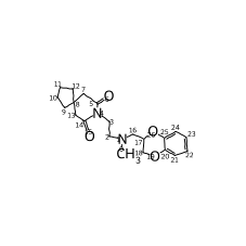 CN(CCN1C(=O)CC2(CCCC2)CC1=O)CC1COc2ccccc2O1